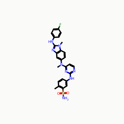 Cc1ccc(Nc2nccc(N(C)c3ccc4c(c3)nc(Nc3ccc(F)cc3)n4C)n2)cc1S(N)(=O)=O